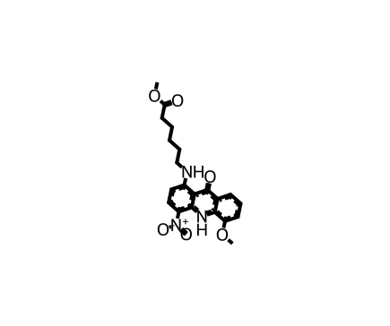 COC(=O)CCCCCNc1ccc([N+](=O)[O-])c2[nH]c3c(OC)cccc3c(=O)c12